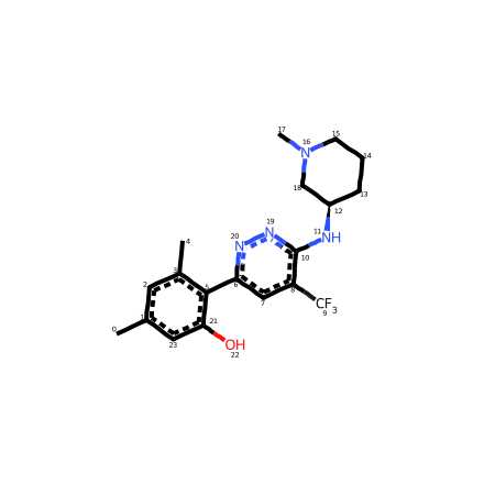 Cc1cc(C)c(-c2cc(C(F)(F)F)c(N[C@@H]3CCCN(C)C3)nn2)c(O)c1